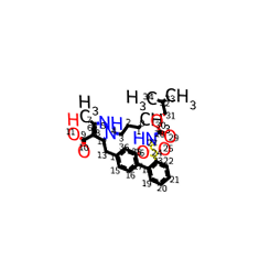 CCCCN1NC(C)=C(C(=O)O)C1Cc1ccc(-c2ccccc2S(=O)(=O)NC(=O)OCC(C)C)cc1